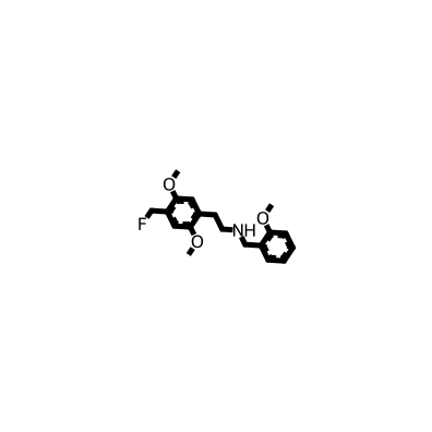 COc1cc(CCNCc2ccccc2OC)c(OC)cc1CF